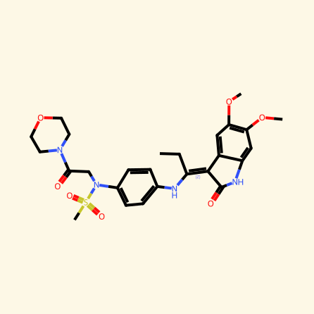 CC/C(Nc1ccc(N(CC(=O)N2CCOCC2)S(C)(=O)=O)cc1)=C1/C(=O)Nc2cc(OC)c(OC)cc21